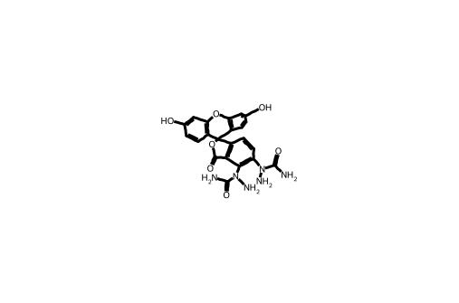 NC(=O)N(N)c1ccc2c(c1N(N)C(N)=O)C(=O)OC21c2ccc(O)cc2Oc2cc(O)ccc21